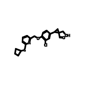 O=CC1(CO)CC1c1ccc(OCc2cccc(SC3CCC3)n2)c(Cl)c1